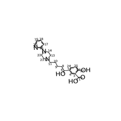 O=C(O)c1cc(C(O)CCCCN2CCN(c3ccccn3)CC2)ccc1O